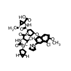 C=C[C@@H]1C[C@]1(NC(=O)[C@@H]1C[C@@H](Oc2cc(-n3cccn3)cc3c(Cl)c(OC)ccc23)CN1C(=O)[C@@H](NC(=O)O[C@@H]1C[C@@H]2C[C@@H]2C1)C(C)C)C(=O)O